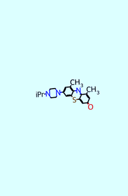 Cc1cc(=O)cc2sc3cc(N4CCN(C(C)C)CC4)cc(C)c3nc1-2